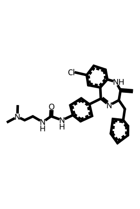 C=C1Nc2ccc(Cl)cc2C(c2ccc(NC(=O)NCCN(C)C)cc2)=NC1Cc1ccccc1